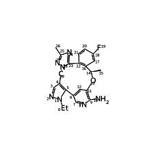 CCn1ncc2c1-c1cnc(N)c(c1)O[C@H](C)c1cc(F)ccc1-c1nc(C)nn1C2